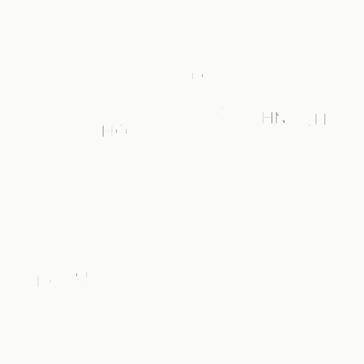 CNCC1COC2(CCC(O)(c3ccc4cc(OC)ccc4c3)CC2)O1